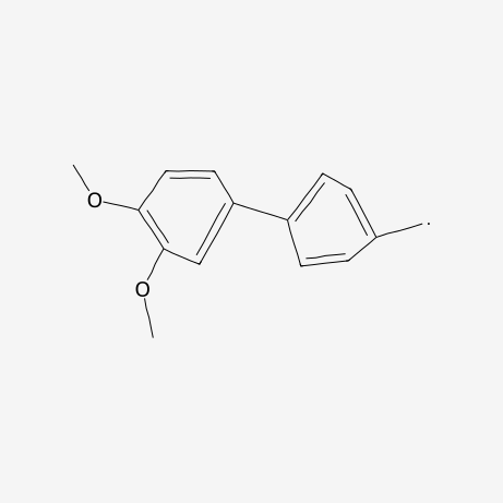 [CH2]c1ccc(-c2ccc(OC)c(OC)c2)cc1